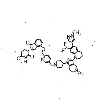 CC(=O)N1CCc2c(c(N3CCCc4cc(-c5cnn(C)c5)c(C(F)F)cc43)nn2C2CCN(Cc3ccc(COc4cccc5c4CN(C4CCC(=O)NC4=O)C5=O)nc3)CC2)C1